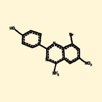 Nc1nc(-c2ccc(O)cc2)nc2c(Br)cc([N+](=O)[O-])cc12